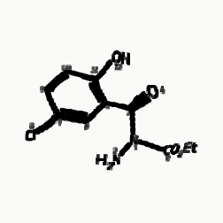 CCOC(=O)N(N)C(=O)c1cc(Cl)ccc1O